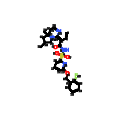 C=C/C(C(=O)NS(=O)(=O)c1cccc(OCc2ccccc2F)n1)=C(\N=C/C)N1CC(C)CC1(C)C